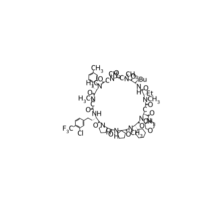 CC[C@H](C)[C@@H]1NC(=O)[C@H](CC)N(C)C(=O)C[C@@H](C(=O)N2CCOCC2)N(C)C(=O)[C@H](C2CCCCC2)N(C)C(=O)C2(CCCC2)NC(=O)[C@@H]2CCCN2C(=O)[C@H](CCc2ccc(C(F)(F)F)c(Cl)c2)NC(=O)CN(C)C(=O)[C@H](Cc2ccc(C)cc2)N(C)C(=O)CN(C)C(=O)CN(C)C1=O